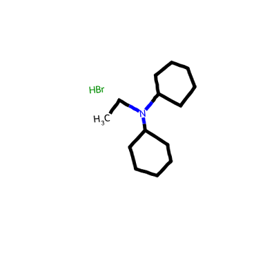 Br.CCN(C1CCCCC1)C1CCCCC1